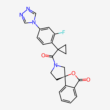 O=C1O[C@]2(CCN(C(=O)C3(c4ccc(-n5cnnc5)cc4F)CC3)C2)c2ccccc21